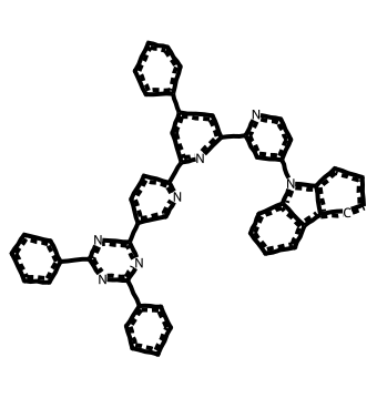 c1ccc(-c2cc(-c3ccc(-c4nc(-c5ccccc5)nc(-c5ccccc5)n4)cn3)nc(-c3cc(-n4c5ccccc5c5ccccc54)ccn3)c2)cc1